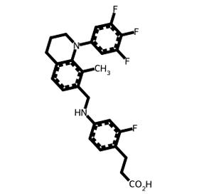 Cc1c(CNc2ccc(CCC(=O)O)c(F)c2)ccc2c1N(c1cc(F)c(F)c(F)c1)CCC2